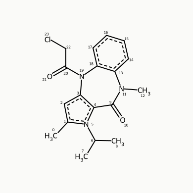 Cc1cc2c(n1C(C)C)C(=O)N(C)c1ccccc1N2C(=O)CCl